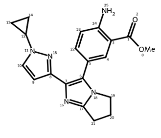 COC(=O)c1cc(-c2c(-c3ccn(C4CC4)n3)nc3n2CCC3)ccc1N